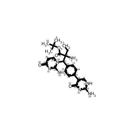 [CH2]CC(N)(C(=O)OC(C)(C)C)C(c1ccc(-c2c[nH]c(N)nc2=O)cc1)n1ccc(=O)nc1N